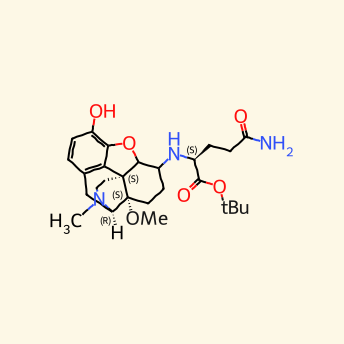 CO[C@@]12CCC(N[C@@H](CCC(N)=O)C(=O)OC(C)(C)C)C3Oc4c(O)ccc5c4[C@@]31CCN(C)[C@@H]2C5